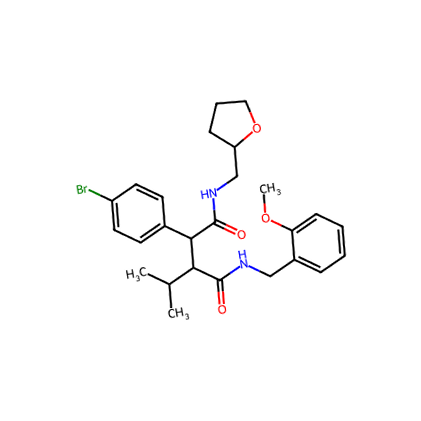 COc1ccccc1CNC(=O)C(C(C)C)C(C(=O)NCC1CCCO1)c1ccc(Br)cc1